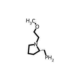 COCCN1CCC[C@H]1CP